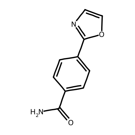 NC(=O)c1ccc(-c2ncco2)cc1